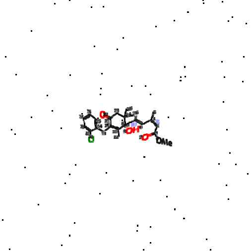 COC(=O)/C=C(C)\C=C\[C@@]1(O)C(C)=C(Cc2ccccc2Cl)C(=O)CC1(C)C